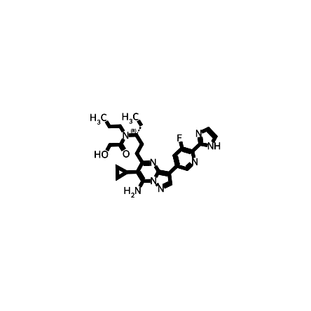 CCCN(C(=O)CO)[C@H](CC)CCc1nc2c(-c3cnc(-c4ncc[nH]4)c(F)c3)cnn2c(N)c1C1CC1